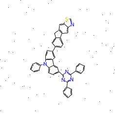 c1ccc(-c2nc(-c3ccccc3)nc(-c3ccc4c(c3)c3cc(-c5ccc6c(c5)Cc5cc7scnc7cc5-6)ccc3n4-c3ccccc3)n2)cc1